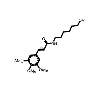 COc1cc(/C=C/C(=O)NCCCCCCO)cc(OC)c1OC